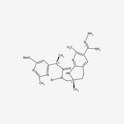 CCN(C[C@@]1(C)CCc2cc(/C(N)=N/N)c(C)nc2N1)C(=O)[C@H](C)c1cc(OC)nc(C)n1